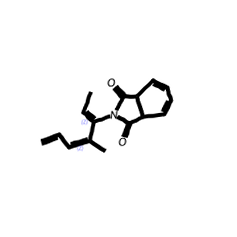 C=C/C=C(C)\C(=C\C)N1C(=O)C2C=CC=CC2C1=O